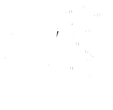 CC(C)(C)[Si](C)(C)O[C@H](c1ccc2c(c1)OCCO2)[C@H](N=[N+]=[N-])C(=O)N1C(=O)OC[C@@H]1c1ccccc1